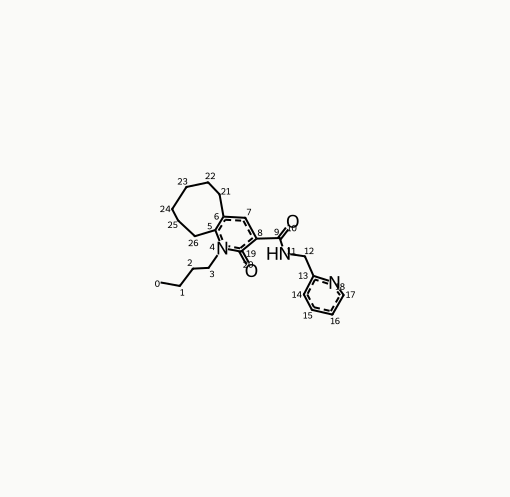 CCCCn1c2c(cc(C(=O)NCc3ccccn3)c1=O)CCCCCC2